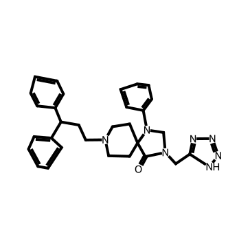 O=C1N(Cc2nnn[nH]2)CN(c2ccccc2)C12CCN(CCC(c1ccccc1)c1ccccc1)CC2